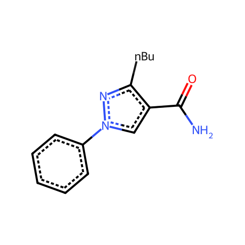 CCCCc1nn(-c2ccccc2)cc1C(N)=O